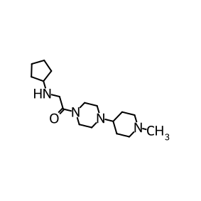 CN1CCC(N2CCN(C(=O)CNC3CCCC3)CC2)CC1